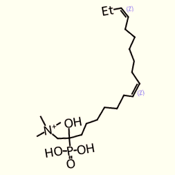 CC/C=C\CCCCC/C=C\CCCCCCC(O)(C[N+](C)(C)C)P(=O)(O)O